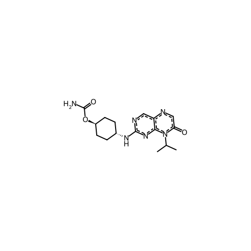 CC(C)n1c(=O)cnc2cnc(N[C@H]3CC[C@H](OC(N)=O)CC3)nc21